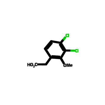 COc1c(CC(=O)O)ccc(Cl)c1Cl